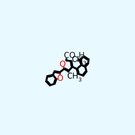 CC1=C(c2cc3ccccc3o2)OC(C(=O)O)C(C)=C1c1cccc2ccccc12